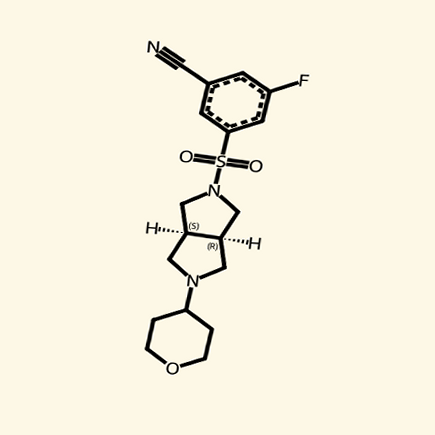 N#Cc1cc(F)cc(S(=O)(=O)N2C[C@H]3CN(C4CCOCC4)C[C@H]3C2)c1